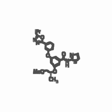 COC[C@@H](C)Oc1cc(Oc2cccc(-c3nnc(C(C)C)o3)c2)cc(C(=O)Nc2nccs2)c1